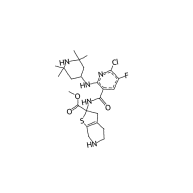 COC(=O)C1(NC(=O)c2cc(F)c(Cl)nc2NC2CC(C)(C)NC(C)(C)C2)CC2=C(CNCC2)S1